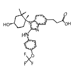 CC1(C)C[C@H](O)CC[C@@]1(C)n1c(Nc2ccc(OC(F)(F)F)cc2)nc2cc(CCC(=O)O)ccc21